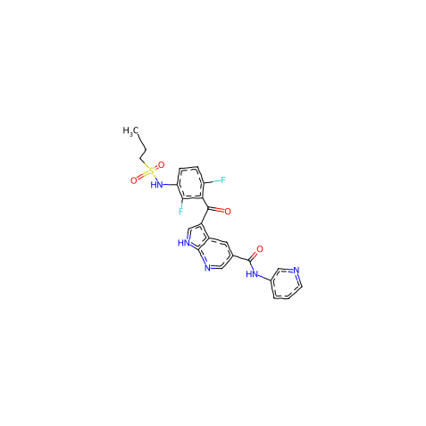 CCCS(=O)(=O)Nc1ccc(F)c(C(=O)c2c[nH]c3ncc(C(=O)Nc4cccnc4)cc23)c1F